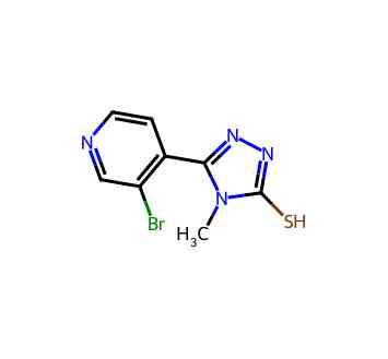 Cn1c(S)nnc1-c1ccncc1Br